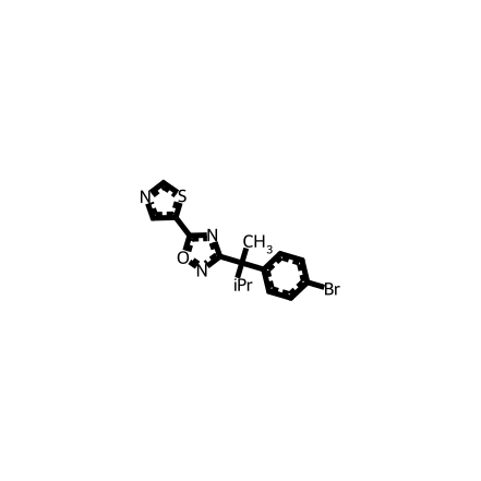 CC(C)C(C)(c1ccc(Br)cc1)c1noc(-c2cncs2)n1